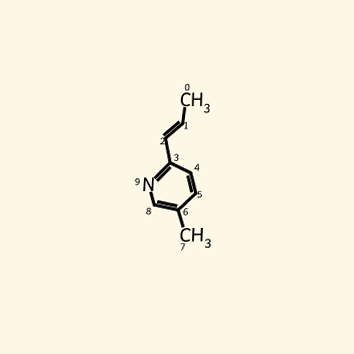 C/C=C/c1ccc(C)cn1